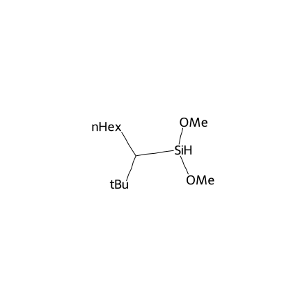 CCCCCCC([SiH](OC)OC)C(C)(C)C